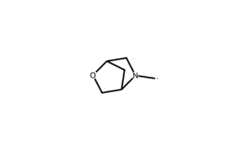 [CH2]N1CC2CC1CO2